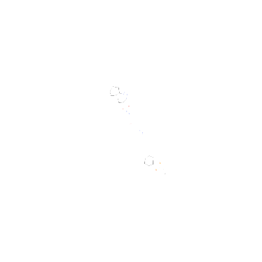 Cc1ccc2ncc(S(=O)(=O)N3CCC4(CC3)C[C@@H](NC[C@H](O)COc3cccc(S(=O)(=O)C5CC5)c3)CO4)c(O)c2c1